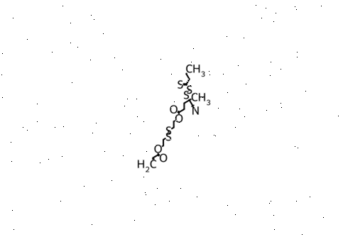 C=CC(=O)OCCSSCCOC(=O)CCC(C)(C#N)SSC(=S)CCC